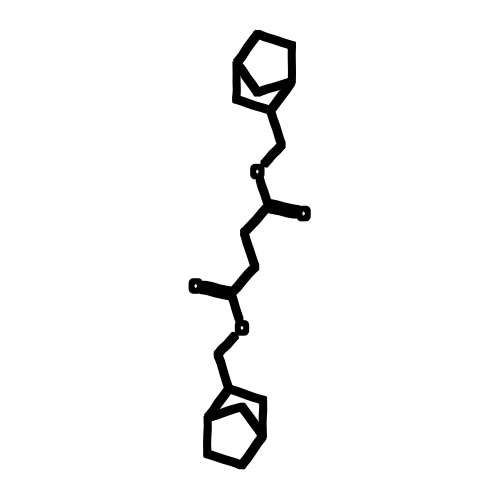 O=C(CCC(=O)OCC1CC2CCC1C2)OCC1CC2CCC1C2